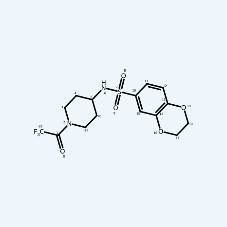 O=C(N1CCC(NS(=O)(=O)c2ccc3c(c2)OCCO3)CC1)C(F)(F)F